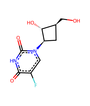 O=c1[nH]c(=O)n([C@@H]2C[C@H](CO)[C@H]2O)cc1F